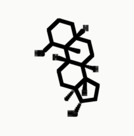 C[C@]12CC[C@H]3[C@@H](CC[C@H]4CCCC(O)[C@]43C)[C@@H]1CC[C@@H]2O